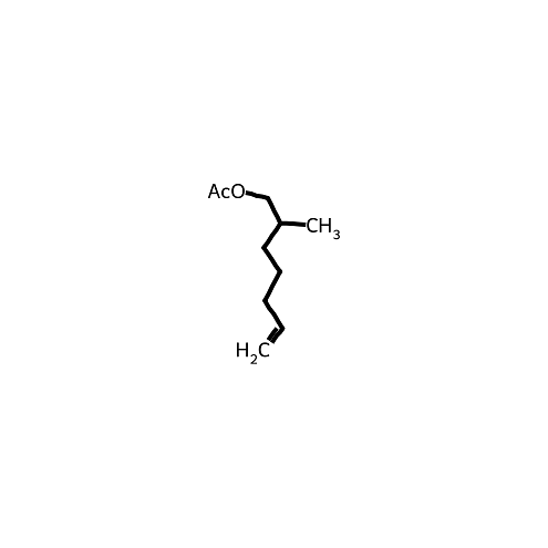 C=CCCCC(C)COC(C)=O